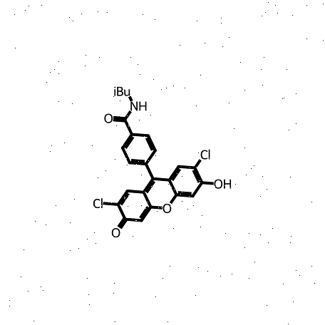 CCC(C)NC(=O)c1ccc(-c2c3cc(Cl)c(=O)cc-3oc3cc(O)c(Cl)cc23)cc1